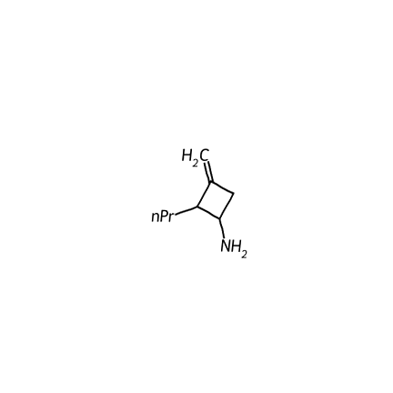 C=C1CC(N)C1CCC